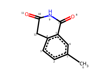 Cc1ccc2c(c1)C(=O)NC(=O)C2